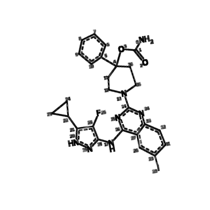 NC(=O)OC1(c2ccccc2)CCN(c2nc(Nc3n[nH]c(C4CC4)c3F)c3cc(I)ccc3n2)CC1